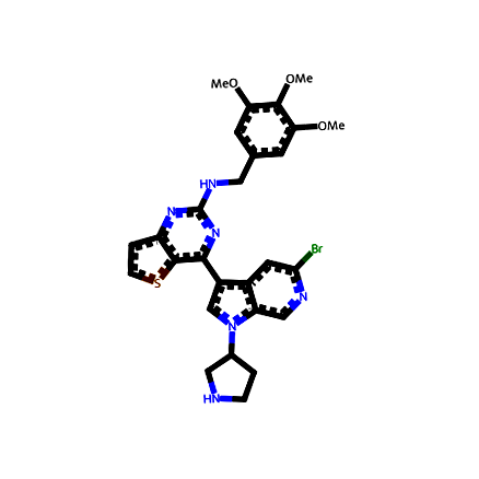 COc1cc(CNc2nc(-c3cn(C4CCNC4)c4cnc(Br)cc34)c3sccc3n2)cc(OC)c1OC